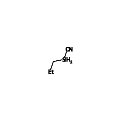 CCC[SiH2]C#N